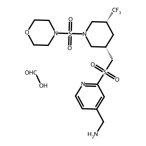 NCc1ccnc(S(=O)(=O)C[C@H]2C[C@@H](C(F)(F)F)CN(S(=O)(=O)N3CCOCC3)C2)c1.O=CO